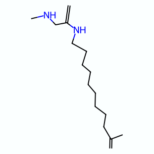 C=C(C)CCCCCCCCCNC(=C)CNC